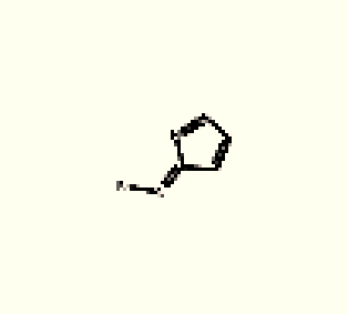 BrN=C1C=CC=N1